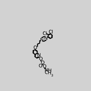 CNCOC(=O)OCOc1ccc2ccc(OCCCCN3CCN(c4cccc(Cl)c4Cl)CC3)cc2n1